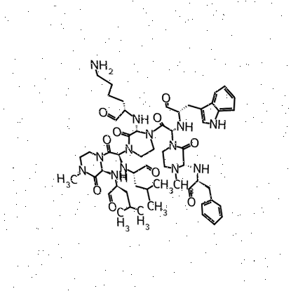 CC(C)C[C@@H](C=O)N[C@H]1C(=O)N(C)CCN1C(=O)[C@H](N[C@H](C=O)CC(C)C)N1CCN(C(=O)[C@H](N[C@H](C=O)Cc2c[nH]c3ccccc23)N2CCN(C)[C@@H](N[C@H](C=O)Cc3ccccc3)C2=O)[C@@H](N[C@H](C=O)CCCCN)C1=O